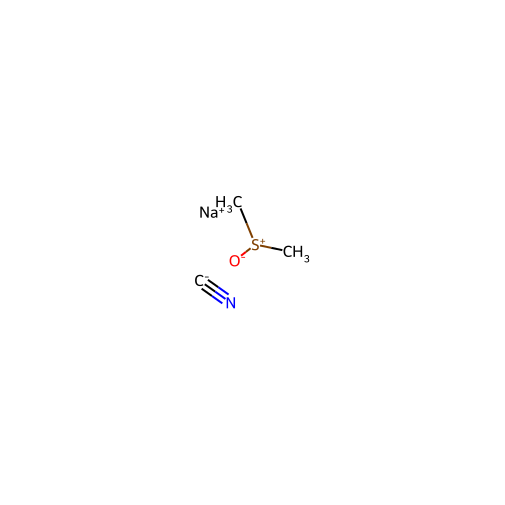 C[S+](C)[O-].[C-]#N.[Na+]